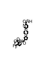 CNC(=O)c1ccc(N2CCN(C3CCC(C(=O)Nn4ccc(C(F)(F)F)c4C(=O)OC)C3)CC2)cn1